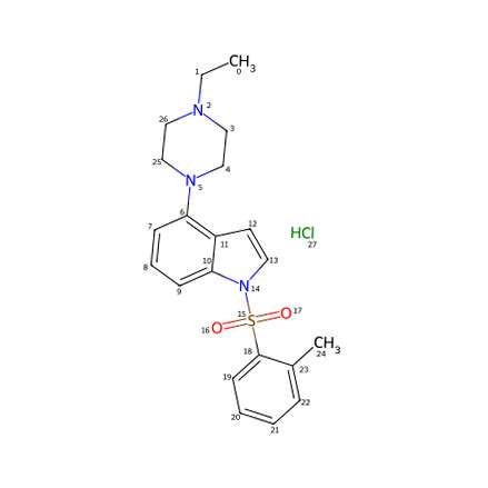 CCN1CCN(c2cccc3c2ccn3S(=O)(=O)c2ccccc2C)CC1.Cl